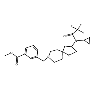 COC(=O)c1cccc(CN2CCC3(CC2)CC(N(C(=O)C(F)(F)F)C2CC2)CO3)c1